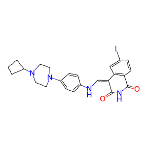 O=C1NC(=O)c2ccc(I)cc2C1=CNc1ccc(N2CCN(C3CCC3)CC2)cc1